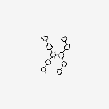 c1ccc(-c2cccc(-c3cc(-c4cccc(-c5ccccc5)c4)cc(-c4nc(-c5ccc(-c6cccnc6)cc5)cc(-c5ccc(-c6cccnc6)cc5)n4)c3)c2)cc1